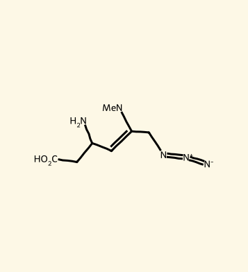 CN/C(=C\C(N)CC(=O)O)CN=[N+]=[N-]